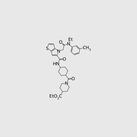 CCOC(=O)C1CCN(C(=O)C2CCC(NC(=O)c3cc4sccc4n3CC(=O)N(CC)c3cccc(C)c3)CC2)CC1